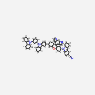 N#Cc1ccc2c(c1)c1ccccc1n2-c1ccc2c(c1)C1(c3ccc(-c4ccc5c(c4)c4ccccc4n5-c4cccc(-n5c6ccccc6c6ccccc65)c4)cc3O2)c2cccnc2-c2ncccc21